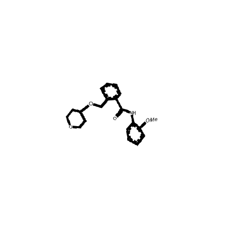 COc1ccccc1NC(=O)c1ccccc1COC1CCOCC1